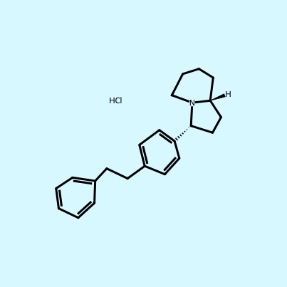 Cl.c1ccc(CCc2ccc([C@H]3CC[C@H]4CCCCN43)cc2)cc1